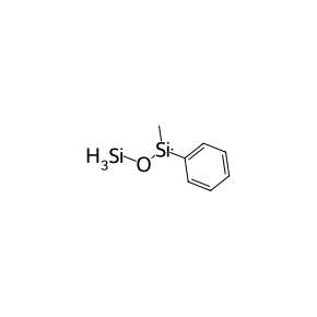 C[Si](O[SiH3])c1ccccc1